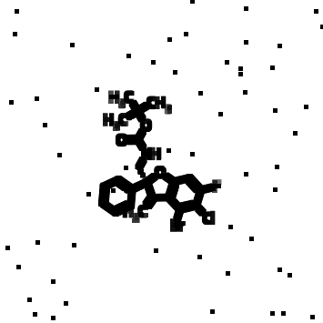 C=C1c2c(cc(F)c(Cl)c2Br)O[C@]1(CNC(=O)OC(C)(C)C)c1ccccc1